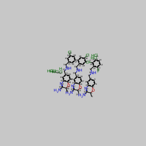 CC1Oc2ccc(CNCc3c(F)cccc3Cl)cc2N=C1N.CC1Oc2ccc(CNCc3ccc(Cl)cc3)cc2N=C1N.CC1Oc2ccc(CNCc3cccc(Cl)c3)cc2N=C1N.Cl.Cl.Cl.Cl.Cl.Cl